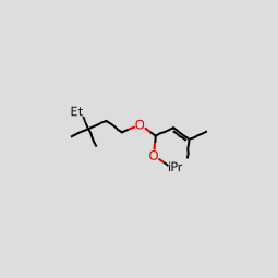 CCC(C)(C)CCOC(C=C(C)C)OC(C)C